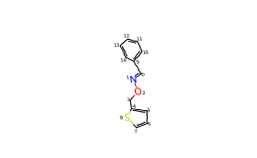 C(=NOCc1cccs1)c1ccccc1